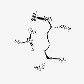 CCC(C)N[C@@H](CSC[C@H](N)C(=O)O)C(=O)O.O=[PH](O)O